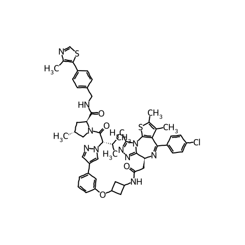 Cc1ncsc1-c1ccc(CNC(=O)[C@@H]2C[C@@H](C)CN2C(=O)[C@H](C(C)C)n2cc(-c3cccc(OC4CC(NC(=O)C[C@@H]5N=C(c6ccc(Cl)cc6)c6c(sc(C)c6C)-n6c(C)nnc65)C4)c3)cn2)cc1